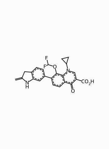 C=C1Cc2ccc(-c3ccc4c(=O)c(C(=O)O)cn(C5CC5)c4c3OC(F)F)cc2N1